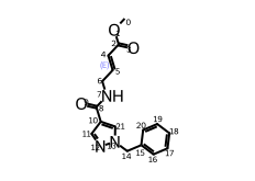 COC(=O)/C=C/CNC(=O)c1cnn(Cc2ccccc2)c1